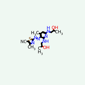 Cc1cc(NCC(C)O)nc(NCC(C)O)c1N=Nc1nc(C)c(C#N)s1